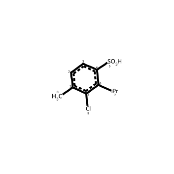 Cc1ccc(S(=O)(=O)O)c(C(C)C)c1Cl